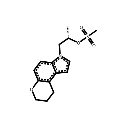 C[C@@H](Cn1ccc2c3c(ccc21)OCCC3)OS(C)(=O)=O